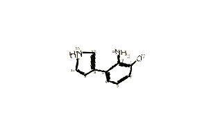 Nc1c(Cl)cccc1-c1cc[nH]c1